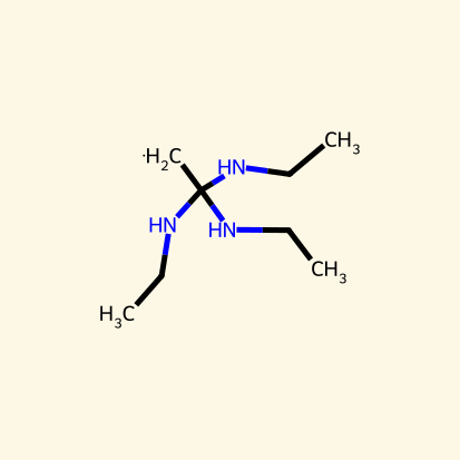 [CH2]C(NCC)(NCC)NCC